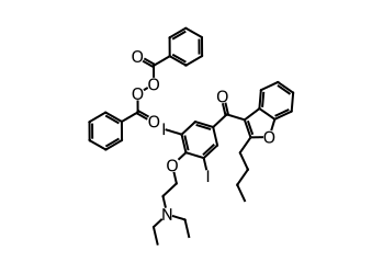 CCCCc1oc2ccccc2c1C(=O)c1cc(I)c(OCCN(CC)CC)c(I)c1.O=C(OOC(=O)c1ccccc1)c1ccccc1